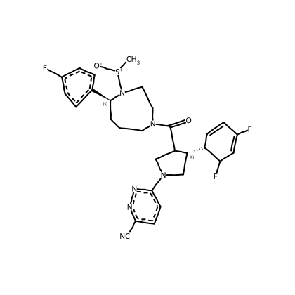 C[S+]([O-])N1CCN(C(=O)C2CN(c3ccc(C#N)nn3)C[C@H]2C2C=CC(F)=CC2F)CCC[C@H]1c1ccc(F)cc1